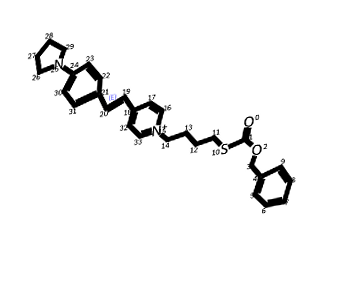 O=C(OCc1ccccc1)SCCCC[n+]1ccc(/C=C/c2ccc(N3CCCC3)cc2)cc1